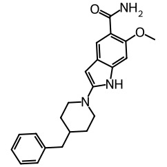 COc1cc2[nH]c(N3CCC(Cc4ccccc4)CC3)cc2cc1C(N)=O